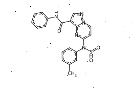 Cc1cccc(N(c2ccn3ncc(C(=O)Nc4ccccc4)c3n2)[SH](=O)=O)c1